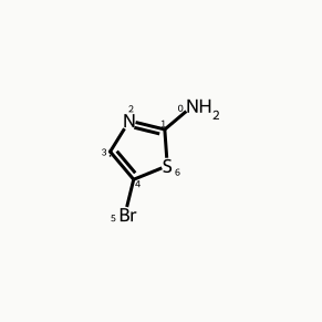 Nc1n[c]c(Br)s1